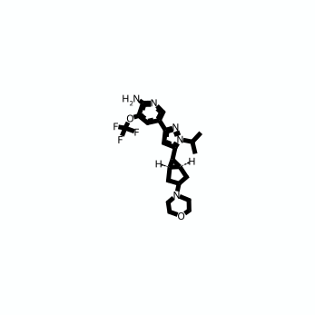 CC(C)n1nc(-c2cnc(N)c(OC(F)(F)F)c2)cc1C1[C@H]2CC(N3CCOCC3)C[C@@H]12